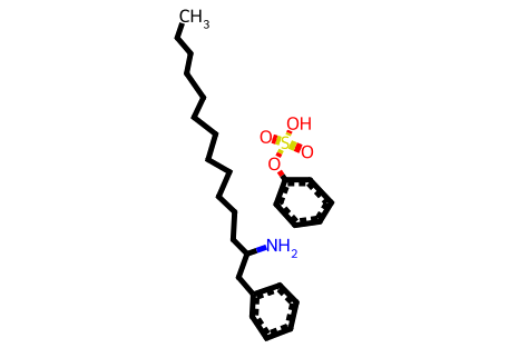 CCCCCCCCCCCCC(N)Cc1ccccc1.O=S(=O)(O)Oc1ccccc1